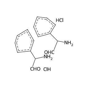 Cl.Cl.NC(C=O)c1ccccc1.NC(C=O)c1ccccc1